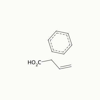 C=CCC(=O)O.c1ccccc1